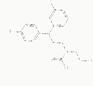 C[CH]CN(CCN(c1ccc(F)cc1)c1cccc(Br)c1)C(C)=O